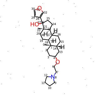 C[C@]12CC[C@H](OCCN3CCCC3)C[C@H]1CC[C@@H]1[C@@H]2CC[C@@]2(C)[C@H]1CC[C@@]2(O)c1ccoc1